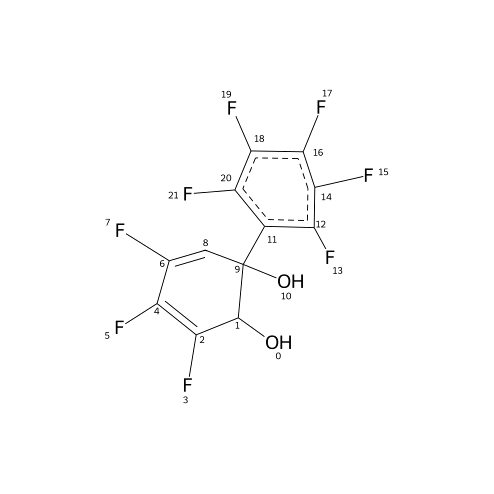 OC1C(F)=C(F)C(F)=CC1(O)c1c(F)c(F)c(F)c(F)c1F